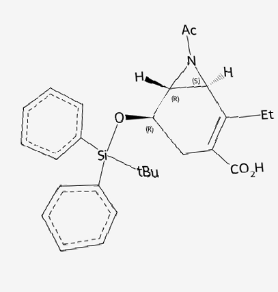 CCC1=C(C(=O)O)C[C@@H](O[Si](c2ccccc2)(c2ccccc2)C(C)(C)C)[C@H]2[C@H]1N2C(C)=O